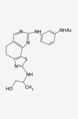 CC(=O)Nc1cccc(Nc2ncc3c(n2)-c2sc(NC(C)CO)nc2CC3)c1